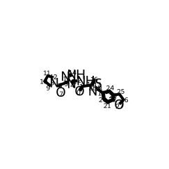 O=C(Nc1nc(C(=O)N2CCCC2)n[nH]1)c1csc(-c2ccc3c(c2)CCO3)n1